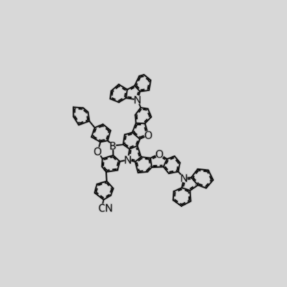 N#Cc1ccc(-c2cc3c4c(c2)-n2c5ccc6c7cc(-n8c9ccccc9c9ccccc98)ccc7oc6c5c5c6oc7ccc(-n8c9ccccc9c9ccccc98)cc7c6cc(c52)B4c2ccc(-c4ccccc4)cc2O3)cc1